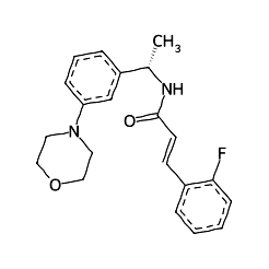 C[C@H](NC(=O)C=Cc1ccccc1F)c1cccc(N2CCOCC2)c1